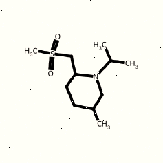 CC1CCC(CS(C)(=O)=O)N(C(C)C)C1